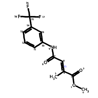 COC(=O)/C(C)=C/C(=O)Nc1cccc(C(F)(F)F)c1